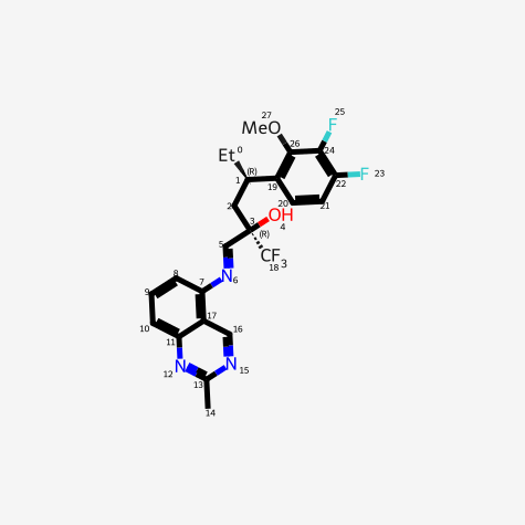 CC[C@H](C[C@@](O)(C=Nc1cccc2nc(C)ncc12)C(F)(F)F)c1ccc(F)c(F)c1OC